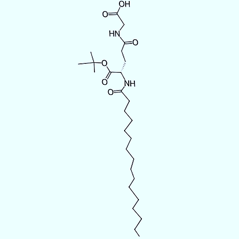 CCCCCCCCCCCCCCCC(=O)N[C@@H](CCC(=O)NCC(=O)O)C(=O)OC(C)(C)C